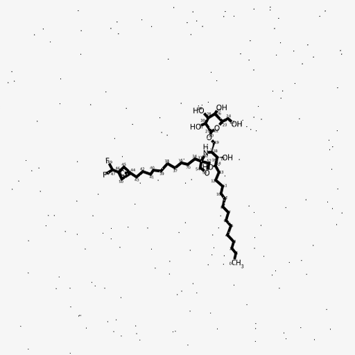 CCCCCCCCCCCCCC[C@@H](O)[C@@H](O)[C@H](COC1OC(CO)C(O)C(O)C1O)NC1(CCCCCCCCCCC23CC(C(F)F)(C2)C3)COC1